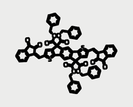 O=C1C(=O)c2ccccc2/C1=C/c1cc2c(s1)-c1cc3c(cc1C2(C(=O)OCc1ccccc1)C(=O)OCc1ccccc1)-c1sc(/C=C2\C(=O)C(=O)c4ccccc42)cc1C3(C(=O)OCc1ccccc1)C(=O)OCc1ccccc1